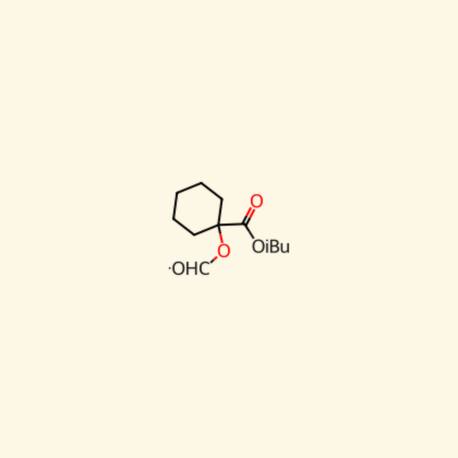 CC(C)COC(=O)C1(O[C]=O)CCCCC1